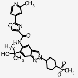 Cc1cc(-c2nc(C(=O)Nc3cc4cn(C5CCC(S(C)(=O)=O)CC5)nc4cc3C(C)(C)O)co2)ccn1